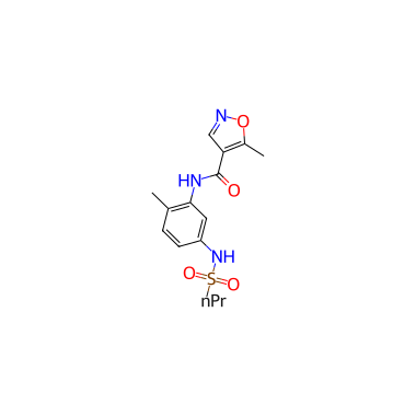 CCCS(=O)(=O)Nc1ccc(C)c(NC(=O)c2cnoc2C)c1